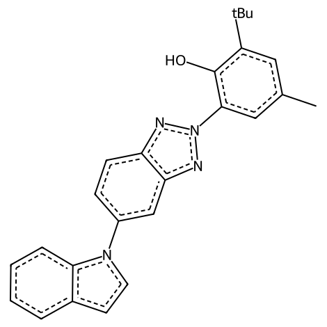 Cc1cc(-n2nc3ccc(-n4ccc5ccccc54)cc3n2)c(O)c(C(C)(C)C)c1